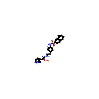 O=S(=O)(Nc1ccc(CCNCC(O)c2cccnc2)cc1)c1ccc2ccccc2c1